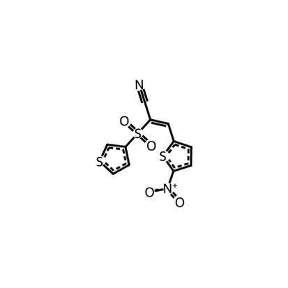 N#C/C(=C/c1ccc([N+](=O)[O-])s1)S(=O)(=O)c1ccsc1